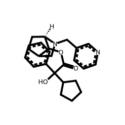 O=C(OC1C2CC[C@H]1N(Cc1cccnc1)C2)C(O)(c1ccccc1)C1CCCC1